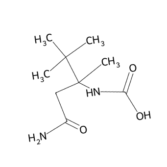 CC(C)(C)C(C)(CC(N)=O)NC(=O)O